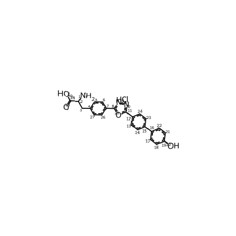 Cl.NC(Cc1ccc(-c2nnc(-c3ccc(-c4ccc(O)cc4)cc3)o2)cc1)C(=O)O